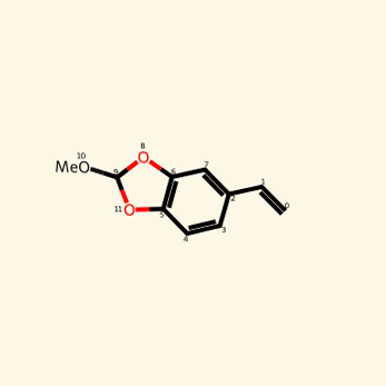 C=Cc1ccc2c(c1)OC(OC)O2